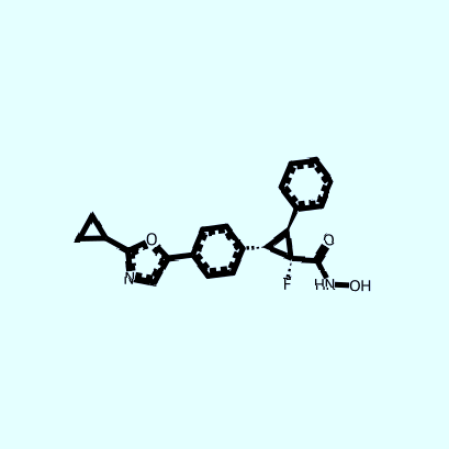 O=C(NO)[C@]1(F)[C@H](c2ccccc2)[C@H]1c1ccc(-c2cnc(C3CC3)o2)cc1